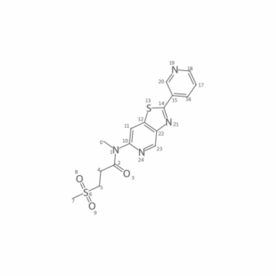 CN(C(=O)CCS(C)(=O)=O)c1cc2sc(-c3cccnc3)nc2cn1